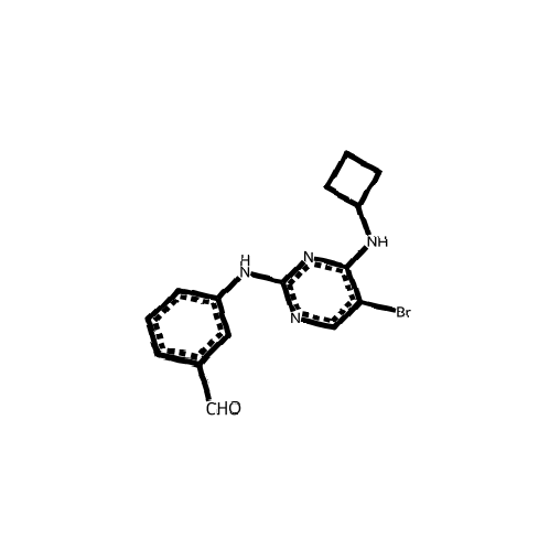 O=Cc1cccc(Nc2ncc(Br)c(NC3CCC3)n2)c1